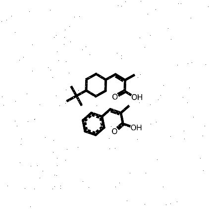 CC(=CC1CCC(C(C)(C)C)CC1)C(=O)O.CC(=Cc1ccccc1)C(=O)O